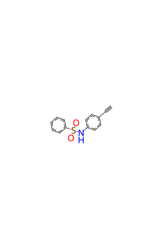 C#Cc1ccc(NS(=O)(=O)c2ccccc2)cc1